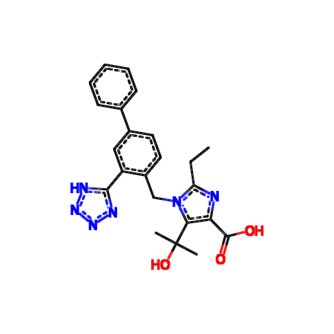 CCc1nc(C(=O)O)c(C(C)(C)O)n1Cc1ccc(-c2ccccc2)cc1-c1nnn[nH]1